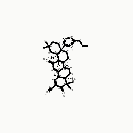 CCCc1nnc([C@]23CCC(C)(C)C[C@@H]2[C@H]2C(=O)C=C4[C@@]5(C)C=C(C#N)C(=O)C(C)(C)[C@@H]5CC[C@@]4(C)[C@]2(C)CC3)o1